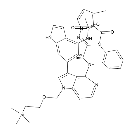 Cc1ccn2nc([C@H](C)Nc3ncnc4c3c(-c3cc(NS(C)(=O)=O)c5cc[nH]c5c3)cn4COCC[Si](C)(C)C)n(-c3ccccc3)c(=O)c12